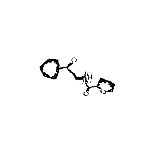 O=C(CNC(=O)c1ccco1)c1ccccc1